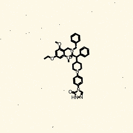 CCOc1cc(OC)c(CN(Cc2ccccc2)C(=O)C(c2ccccc2)C2CCN(c3ccc(-n4cn[nH]c4=O)cc3)CC2)c(OC)c1